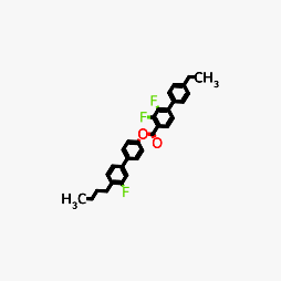 CCCCc1ccc(-c2ccc(OC(=O)c3ccc(-c4ccc(CC)cc4)c(F)c3F)cc2)cc1F